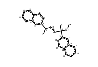 COC(C)(N=NC(C)c1ccc2ccccc2c1)c1ccc2ccccc2c1